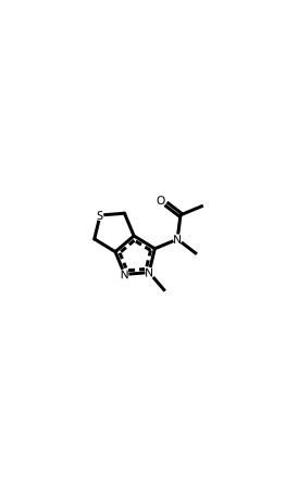 CC(=O)N(C)c1c2c(nn1C)CSC2